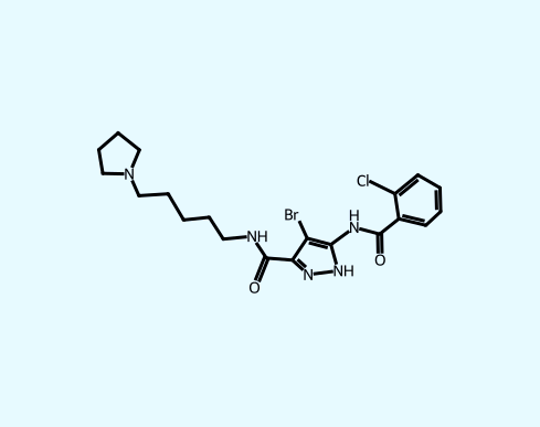 O=C(Nc1[nH]nc(C(=O)NCCCCCN2CCCC2)c1Br)c1ccccc1Cl